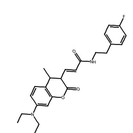 CCN(CC)c1ccc2c(c1)OC(=O)C(C=CC(=O)NCCc1ccc(F)cc1)C2C